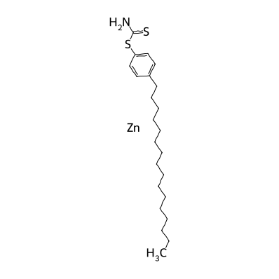 CCCCCCCCCCCCCCCCc1ccc(SC(N)=S)cc1.[Zn]